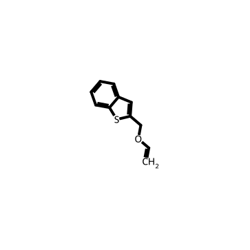 C=COCc1cc2ccccc2s1